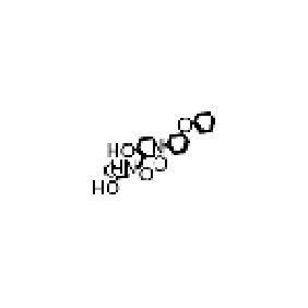 O=C(O)CNC(=O)C1=C(O)CCN(c2cccc(Oc3ccccc3)c2)C1=O